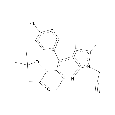 C#CCn1c(C)c(C)c2c(-c3ccc(Cl)cc3)c(C(OC(C)(C)C)C(C)=O)c(C)nc21